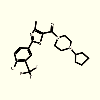 Cc1nc(-c2ccc(Cl)c(C(F)(F)F)c2)sc1C(=O)N1CCN(C2CCCC2)CC1